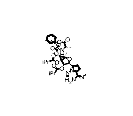 C=Nn1c(/C(N)=N\C)ccc1[C@@H]1O[C@]2(C)C(O[P@](=O)(N[C@@H](C)C(=O)OC)Oc3ccccc3)[C@]2(OC(=O)C(C)C)[C@H]1OC(=O)C(C)C